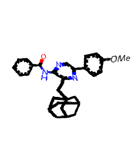 COc1ccc(-c2cnc(NC(=O)c3ccccc3)c(CC34CC5CC(CC(C5)C3)C4)n2)cc1